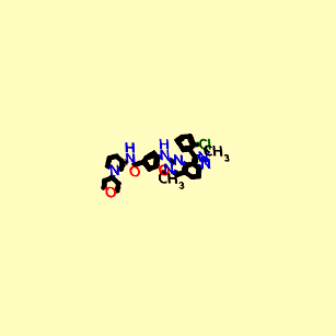 COc1cc(C(=O)N[C@H]2CCCN(C3CCOCC3)C2)ccc1Nc1ncc2c(n1)-c1c(nn(C)c1-c1ccccc1Cl)CC2